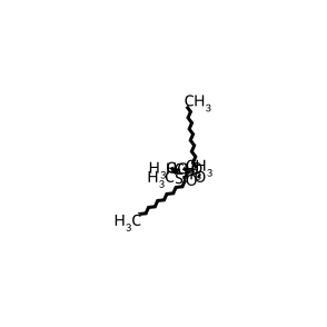 CCCCCCCCCCCCOP(=O)(OCCCCCCCCCCCC)C(C)(O)CSC(C)(C)C